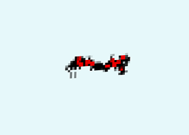 Cn1nc(N2CCC(=O)NC2=O)c2ccc(C3CCN(CC(=O)N4CCC(n5cc(-c6cc(F)c7c(c6)C(=O)N(C(C(=O)Nc6nccs6)c6ncn8c6CCC8)C7)cn5)CC4)CC3(F)F)cc21